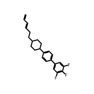 C=C/C=C/CCC1CCC(c2ccc(-c3cc(F)c(F)c(F)c3)cc2)CC1